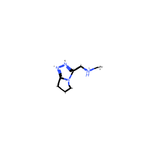 CC(C)NCc1nnc2n1CCC2